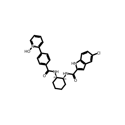 O=C(N[C@@H]1CCCC[C@@H]1NC(=O)c1cc2cc(Cl)ccc2[nH]1)c1ccc(-c2cccc[n+]2O)cc1